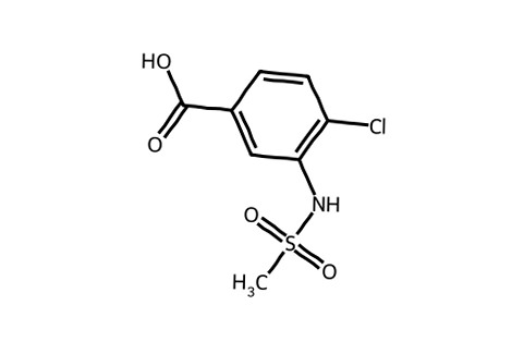 CS(=O)(=O)Nc1cc(C(=O)O)ccc1Cl